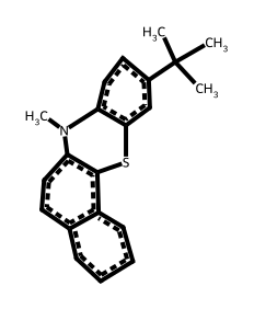 CN1c2ccc(C(C)(C)C)cc2Sc2c1ccc1ccccc21